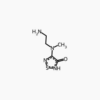 CN(CCN)c1ns[nH]c1=O